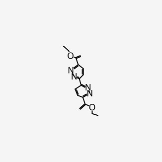 C=C(OCC)c1ccc(-c2ccc(C(=C)OCC)nn2)nn1